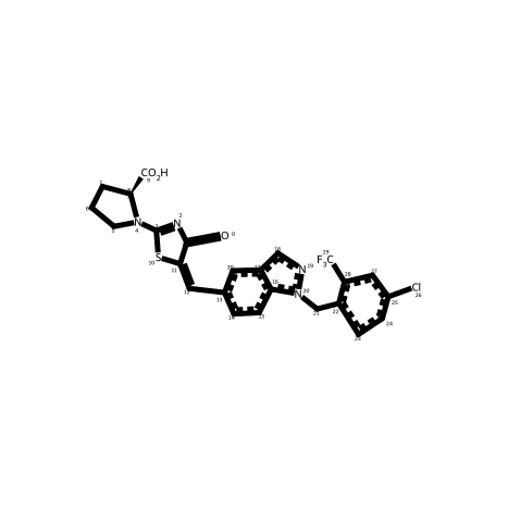 O=C1N=C(N2CCC[C@H]2C(=O)O)SC1=Cc1ccc2c(cnn2Cc2ccc(Cl)cc2C(F)(F)F)c1